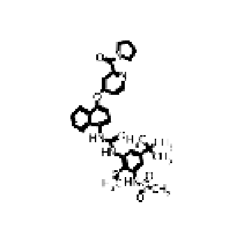 COc1c(NC(=O)Nc2ccc(Oc3ccnc(C(=O)N4CCCC4)c3)c3ccccc23)cc(C(C)(C)C)cc1NS(C)(=O)=O